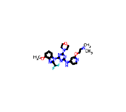 COc1cccc2c1nc(C(F)F)n2-c1nc(Nc2ccnc(OCCN(C)C)c2)nc(N2CCOCC2)n1